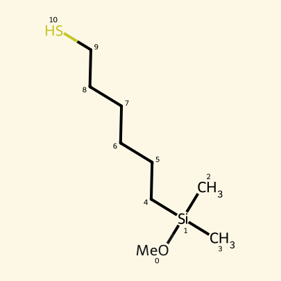 CO[Si](C)(C)CCCCCCS